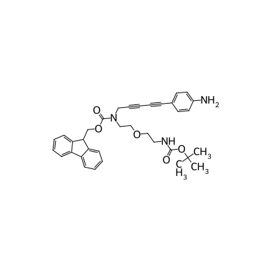 CC(C)(C)OC(=O)NCCOCCN(CC#CC#Cc1ccc(N)cc1)C(=O)OCC1c2ccccc2-c2ccccc21